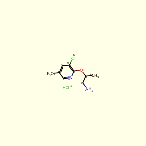 CC(CN)Oc1ncc(C(F)(F)F)cc1Cl.Cl